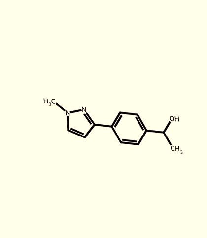 CC(O)c1ccc(-c2ccn(C)n2)cc1